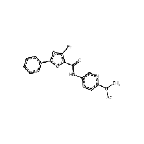 CCc1oc(-c2ccccc2)nc1C(=O)Nc1ccc(N(C)C(C)=O)nc1